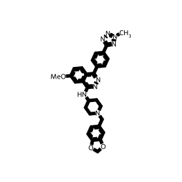 COc1ccc2c(-c3ccc(-c4nnn(C)n4)cc3)nnc(NC3CCN(Cc4ccc5c(c4)OCO5)CC3)c2c1